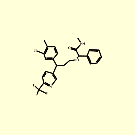 CNC(=O)[C@H](NCC[C@@H](c1ccc(C(F)(F)F)nc1)c1ccc(C)c(Cl)c1)c1ccccc1